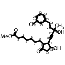 COC(=O)CCCCCCC1C(=O)CC(O)C1C#CC(C)(O)CCc1cccc(Cl)c1